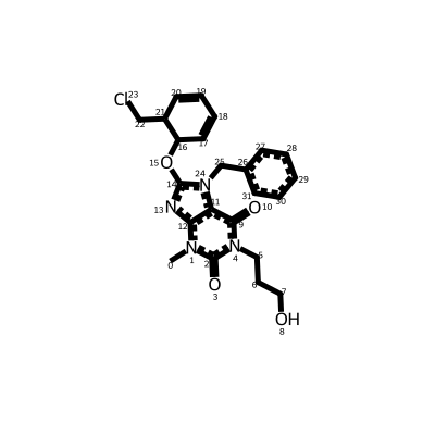 Cn1c(=O)n(CCCO)c(=O)c2c1nc(OC1C=CC=CC1CCl)n2Cc1ccccc1